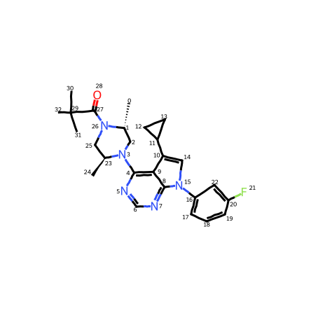 C[C@@H]1CN(c2ncnc3c2c(C2CC2)cn3-c2cccc(F)c2)[C@@H](C)CN1C(=O)C(C)(C)C